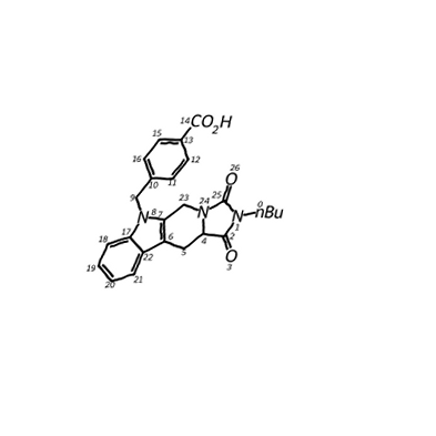 CCCCN1C(=O)C2Cc3c(n(Cc4ccc(C(=O)O)cc4)c4ccccc34)CN2C1=O